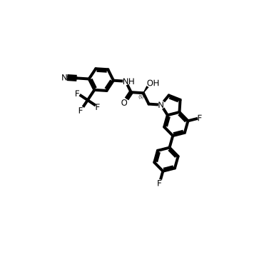 N#Cc1ccc(NC(=O)[C@@H](O)Cn2ccc3c(F)cc(-c4ccc(F)cc4)cc32)cc1C(F)(F)F